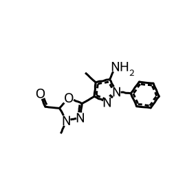 Cc1c(C2=NN(C)C(C=O)O2)nn(-c2ccccc2)c1N